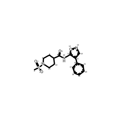 CS(=O)(=O)N1CCC(C(=O)Nc2oncc2-c2ccccc2)CC1